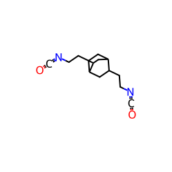 O=C=NCCC1CC2CCC1CC2CCN=C=O